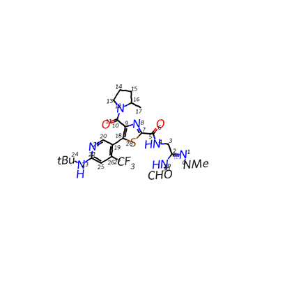 CN/N=C(/CNC(=O)c1nc(C(=O)N2CCCC2C)c(-c2cnc(NC(C)(C)C)cc2C(F)(F)F)s1)NC=O